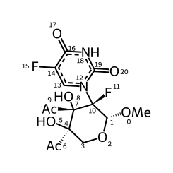 CO[C@@H]1OC[C@](O)(C(C)=O)[C@@](O)(C(C)=O)[C@]1(F)n1cc(F)c(=O)[nH]c1=O